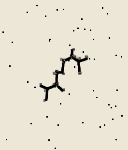 CC(C)N(C)SCSN(C)C(C)C